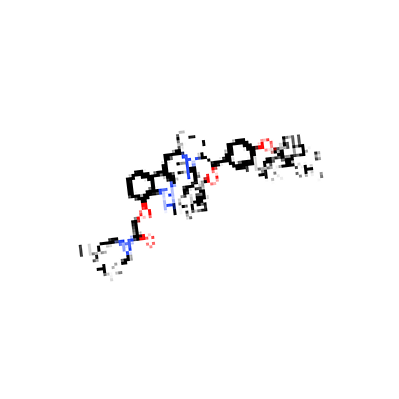 CCN(CC)C(=O)COc1cccc2c(C[C@@H](C)NC[C@@H](O[Si](CC)(CC)CC)c3ccc(O[Si](C)(C)C(C)(C)C)cc3)c[nH]c12